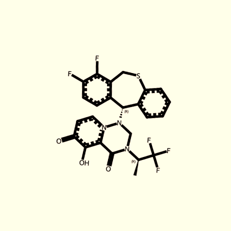 C[C@@H](N1CN([C@H]2c3ccccc3SCc3c2ccc(F)c3F)n2ccc(=O)c(O)c2C1=O)C(F)(F)F